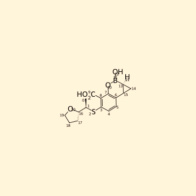 C[C@@H](Sc1ccc2c(c1C(=O)O)OB(O)[C@H]1CC21)[C@@H]1CCCO1